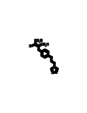 CC(C)/C(C(=O)O)=C(\Cc1ccc(OCCn2ccnc2)cc1)C(=O)O